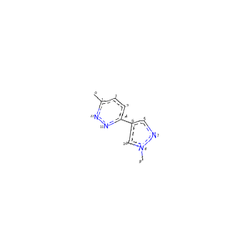 Cc1ccc(-c2cnn(C)c2)nn1